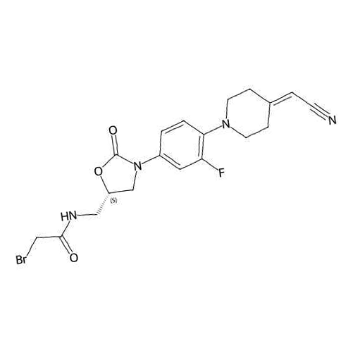 N#CC=C1CCN(c2ccc(N3C[C@H](CNC(=O)CBr)OC3=O)cc2F)CC1